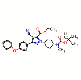 CCOC(=O)c1c(C#N)c(-c2ccc(Oc3ccccc3)cc2)nn1[C@H]1CC[C@@H](N(C)C(=O)OC(C)(C)C)CC1